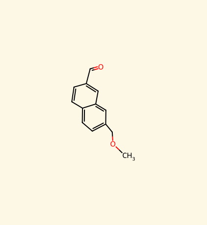 COCc1ccc2ccc(C=O)cc2c1